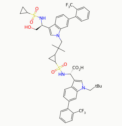 CC(C)(C)Cn1cc([C@H](NS(=O)(=O)C2CC2C(C)(C)Cn2cc([C@@H](CO)NS(=O)(=O)C3CC3)c3ccc(-c4ccccc4C(F)(F)F)cc32)C(=O)O)c2ccc(-c3ccccc3C(F)(F)F)cc21